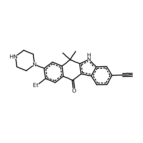 C#Cc1ccc2c3c([nH]c2c1)C(C)(C)c1cc(N2CCNCC2)c(CC)cc1C3=O